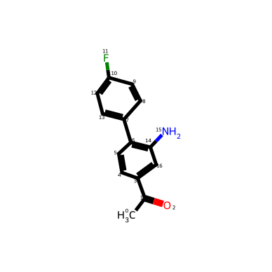 CC(=O)c1ccc(-c2ccc(F)cc2)c(N)c1